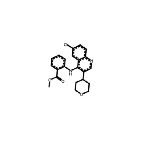 COC(=O)c1ccccc1Nc1c(C2CCOCC2)cnc2ccc(Cl)cc12